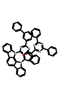 c1ccc(-c2cccc(-c3nc(-c4ccccc4)nc(-n4c5ccccc5c5ccc6c7ccccc7n(-c7ccc(-c8nc(-c9ccccc9)nc(-c9ccccc9)n8)cc7)c6c54)n3)c2)cc1